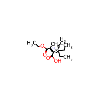 CCOC(=O)/C(C)=C(\C(=O)O)[Si](CC)(CC)CC